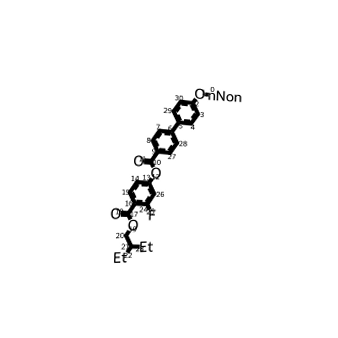 CCCCCCCCCOc1ccc(-c2ccc(C(=O)Oc3ccc(C(=O)OCC(CC)CC)c(F)c3)cc2)cc1